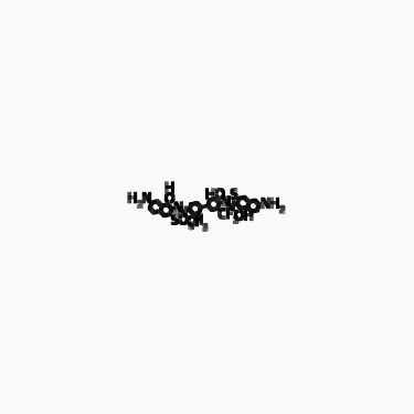 Nc1ccc2c(O)c(/N=N/c3ccc(-c4ccc(/N=N/c5c(S(=O)(=O)O)cc6ccc(N)cc6c5O)c(C(F)(F)F)c4)cc3C(F)(F)F)c(S(=O)(=O)O)cc2c1